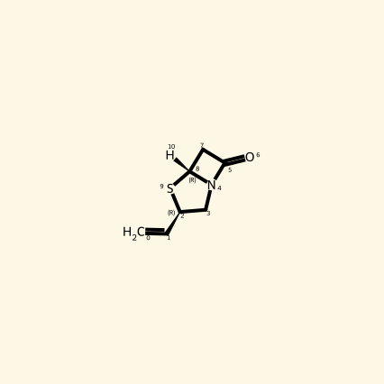 C=C[C@@H]1CN2C(=O)C[C@H]2S1